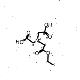 CCOC(=O)CN(CC(=O)O)CC(=O)O